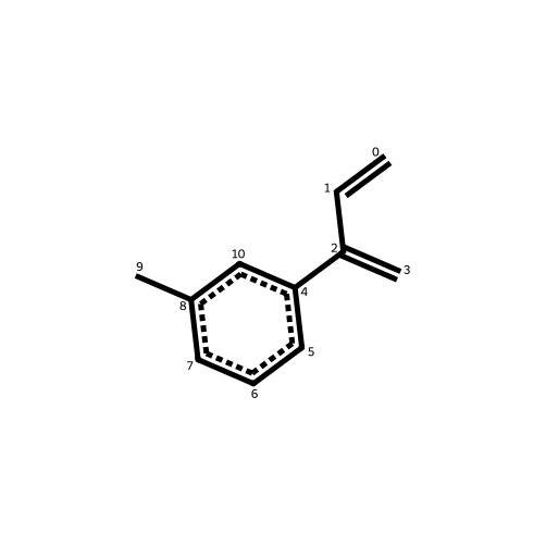 C=CC(=C)c1cccc(C)c1